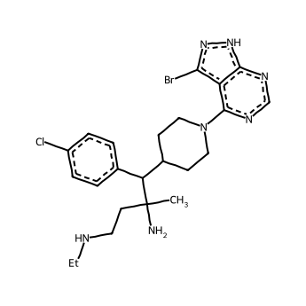 CCNCCC(C)(N)C(c1ccc(Cl)cc1)C1CCN(c2ncnc3[nH]nc(Br)c23)CC1